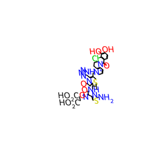 Nc1nc(/C(=N/O[C@@H](CC(=O)O)C(=O)O)C(=O)N[C@@H]2C(=O)N3C(c4nnn[nH]4)=C(C[n+]4cccc5c4CCCN5C(=O)c4ccc(O)c(O)c4Cl)CS[C@H]23)cs1